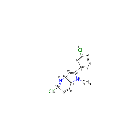 Cn1c(-c2cccc(Cl)c2)cc2nc(Cl)ccc21